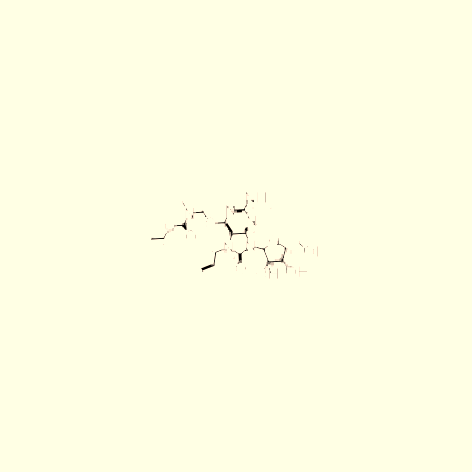 C=CCn1c(=O)n(C2O[C@H](CO)[C@@H](O)[C@H]2O)c2nc(N)nc(OCN(C)C(=O)OCC)c21